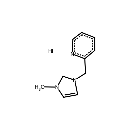 CN1C=CN(Cc2ccccn2)C1.I